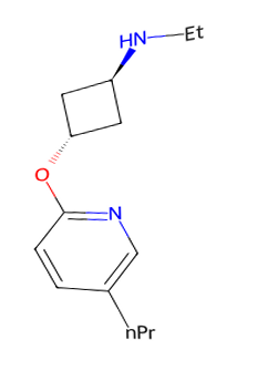 CCCc1ccc(O[C@H]2C[C@H](NCC)C2)nc1